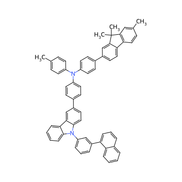 Cc1ccc(N(c2ccc(-c3ccc4c(c3)C(C)(C)c3cc(C)ccc3-4)cc2)c2ccc(-c3ccc4c(c3)c3ccccc3n4-c3cccc(-c4cccc5ccccc45)c3)cc2)cc1